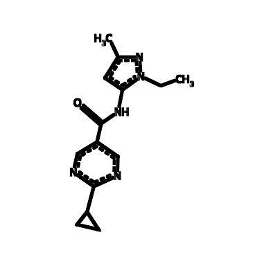 CCn1nc(C)cc1NC(=O)c1cnc(C2CC2)nc1